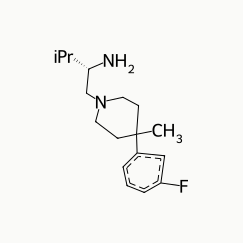 CC(C)[C@H](N)CN1CCC(C)(c2cccc(F)c2)CC1